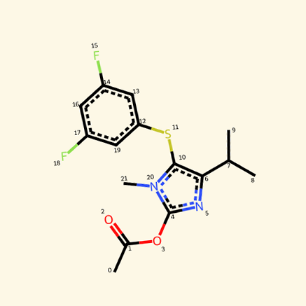 CC(=O)Oc1nc(C(C)C)c(Sc2cc(F)cc(F)c2)n1C